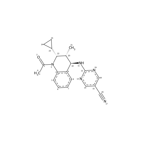 CC(=O)N1c2ccccc2[C@H](Nc2ncc(C#N)cn2)[C@@H](C)[C@H]1C1CC1